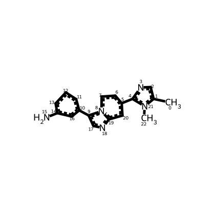 Cc1cnc(-c2ccn3c(-c4cccc(N)c4)cnc3c2)n1C